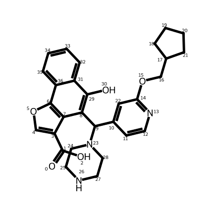 O=C(O)c1coc2c1c(C(c1ccnc(OCC3CCCC3)c1)N1CCNCC1)c(O)c1ccccc12